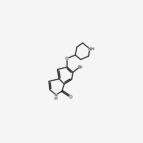 O=c1[nH]ccc2cc(OC3CCNCC3)c(Br)cc12